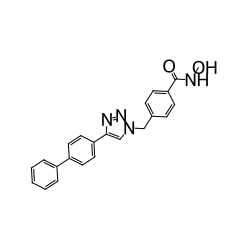 O=C(NO)c1ccc(Cn2cc(-c3ccc(-c4ccccc4)cc3)nn2)cc1